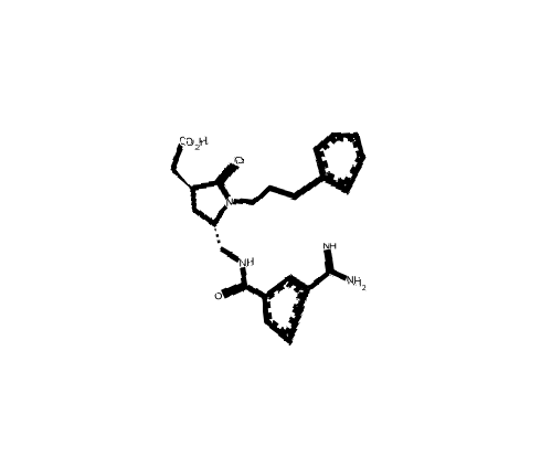 N=C(N)c1cccc(C(=O)NC[C@@H]2C[C@@H](CC(=O)O)C(=O)N2CCCc2ccccc2)c1